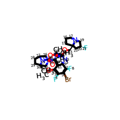 COc1c(F)c(Br)c(F)c2nc(OC[C@@]34CCCN3C[C@H](F)C4)nc(N3CC4CCC(C)(C3)N4C(=O)OC(C)(C)C)c12